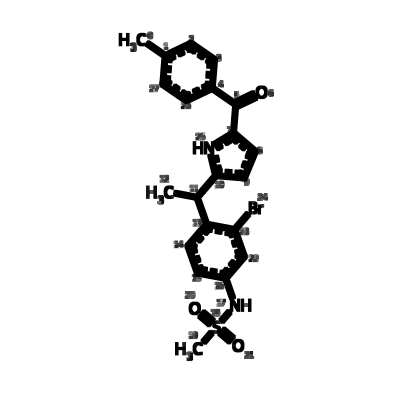 Cc1ccc(C(=O)c2ccc(C(C)c3ccc(NS(C)(=O)=O)cc3Br)[nH]2)cc1